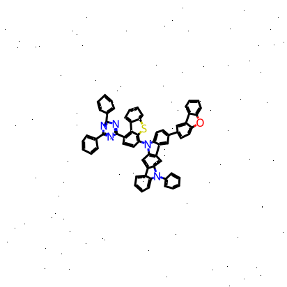 c1ccc(-c2nc(-c3ccccc3)nc(-c3ccc(-n4c5ccc(-c6ccc7oc8ccccc8c7c6)cc5c5cc6c(cc54)c4ccccc4n6-c4ccccc4)c4sc5ccccc5c34)n2)cc1